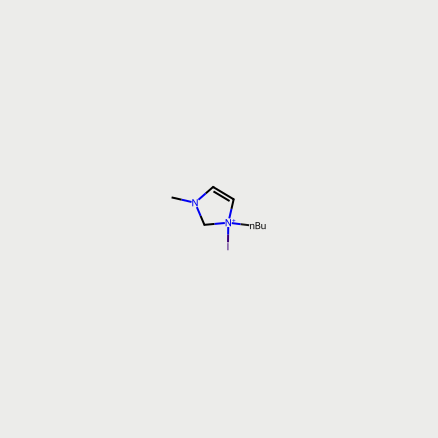 CCCC[N+]1(I)C=CN(C)C1